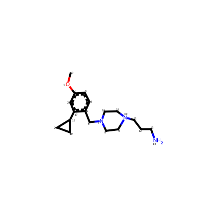 COc1ccc(CN2CCN(CCCN)CC2)c(C2CC2)c1